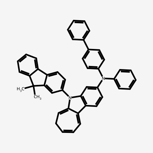 CC1(C)c2ccccc2-c2ccc(-n3c4c(c5ccc(N(c6ccccc6)c6ccc(-c7ccccc7)cc6)cc53)=CC=CCC=4)cc21